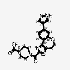 O=C(c1nc2c(s1)CCOc1cc(-c3cn[nH]c3)ccc1-2)N1CCN(C(=O)C(F)(F)F)CC1